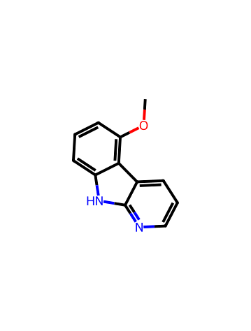 COc1cccc2[nH]c3ncccc3c12